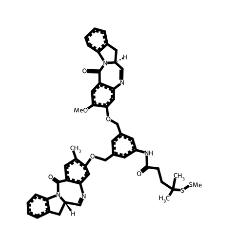 COc1cc2c(cc1OCc1cc(COc3cc4c(cc3C)C(=O)N3c5ccccc5C[C@H]3C=N4)cc(NC(=O)CCC(C)(C)SSC)c1)N=C[C@@H]1Cc3ccccc3N1C2=O